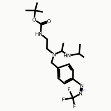 CC(C)NC(C)N(CCNC(=O)OC(C)(C)C)Cc1ccc(/N=N\C(F)(F)F)cc1